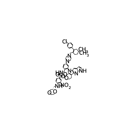 CC1(C)CCC(CN2CCN(c3ccc(C(=O)NS(=O)(=O)c4ccc(NC[C@H]5COCCO5)c([N+](=O)[O-])c4)c(-n4c5c(c6nc7[nH]ccc7cc64)CCOC5)c3)CC2)=C(c2ccc(Cl)cc2)C1